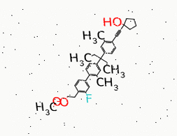 CCC(CC)(c1ccc(C#CC2(O)CCCC2)c(C)c1)c1ccc(-c2ccc(CCOOC)c(F)c2)c(C)c1